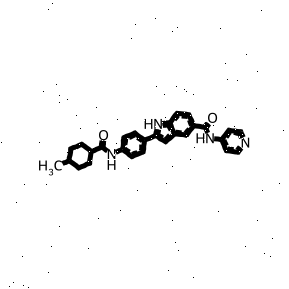 CC1CCC(C(=O)Nc2ccc(-c3cc4cc(C(=O)Nc5ccncc5)ccc4[nH]3)cc2)CC1